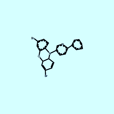 BrC1=CC2Oc3cc(Br)ccc3N(c3ccc(-c4ccccc4)nc3)C2C=C1